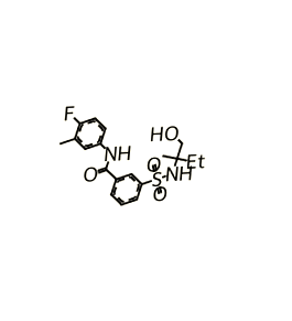 CCC(C)(CO)NS(=O)(=O)c1cccc(C(=O)Nc2ccc(F)c(C)c2)c1